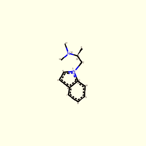 C[C@@H](Cn1ccc2ccccc21)N(C)C